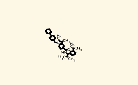 Cc1c(C)n(Cc2ccc(-c3ccccc3)cc2)c2ccc(C(=O)N[C@@H](c3cccc(C(C)C)c3)C(C)C)cc12